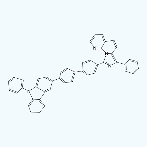 c1ccc(-c2nc(-c3ccc(-c4ccc(-c5ccc6c(c5)c5ccccc5n6-c5ccccc5)cc4)cc3)n3c2ccc2cccnc23)cc1